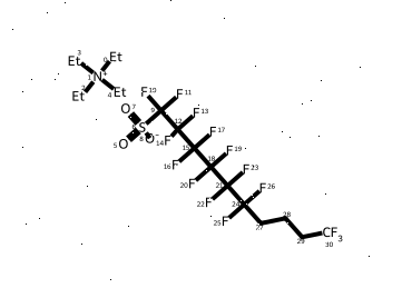 CC[N+](CC)(CC)CC.O=S(=O)([O-])C(F)(F)C(F)(F)C(F)(F)C(F)(F)C(F)(F)C(F)(F)CCCC(F)(F)F